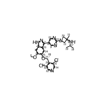 COc1cc2[nH]nc(-c3cnc(N4CC(C)(NC(C)C)C4)nc3)c2cc1O[C@H](C)c1c(Cl)cncc1Cl